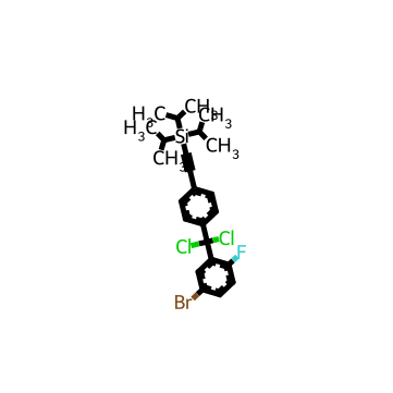 CC(C)[Si](C#Cc1ccc(C(Cl)(Cl)c2cc(Br)ccc2F)cc1)(C(C)C)C(C)C